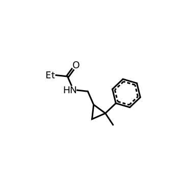 CCC(=O)NCC1CC1(C)c1ccccc1